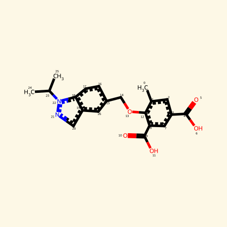 Cc1cc(C(=O)O)cc(C(=O)O)c1OCc1ccc2c(cnn2C(C)C)c1